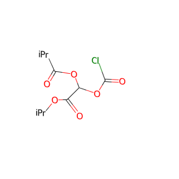 CC(C)OC(=O)C(OC(=O)Cl)OC(=O)C(C)C